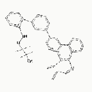 C=C/C=N\c1c(CCC)c2ccc(-c3cccc(-c4ccccc4BOC(C)(C)C(C)(C)O)c3)cc2c2ccccc12